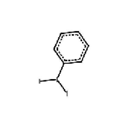 II(I)c1ccccc1